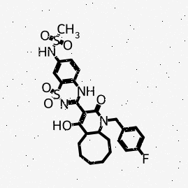 CS(=O)(=O)Nc1ccc2c(c1)S(=O)(=O)N=C(C1=C(O)C3CCCCCCC3N(Cc3ccc(F)cc3)C1=O)N2